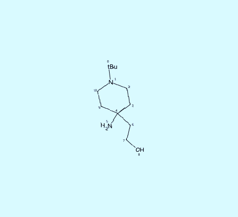 CC(C)(C)N1CCC(N)(CCO)CC1